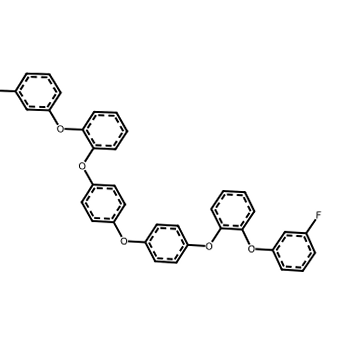 Fc1cccc(Oc2ccccc2Oc2ccc(Oc3ccc(Oc4ccccc4Oc4cccc(F)c4)cc3)cc2)c1